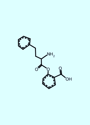 NC(CCc1ccccc1)C(=O)Oc1ccccc1C(=O)O